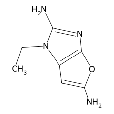 CCn1c(N)nc2oc(N)cc21